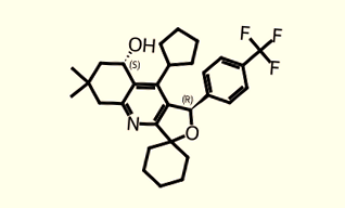 CC1(C)Cc2nc3c(c(C4CCCC4)c2[C@@H](O)C1)[C@@H](c1ccc(C(F)(F)F)cc1)OC31CCCCC1